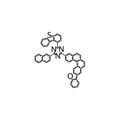 c1ccc2cc(-c3nc(-c4ccc5c(ccc6ccc7cc8c(cc7c65)oc5ccccc58)c4)nc(-c4cccc5sc6ccccc6c45)n3)ccc2c1